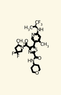 Cc1cc(N[C@@H](C)C(F)(F)F)ncc1-c1sc(C(=O)NC2CCOCC2)nc1C(=O)N1CC(F)(F)C[C@@H]1C